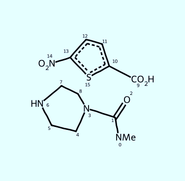 CNC(=O)N1CCNCC1.O=C(O)c1ccc([N+](=O)[O-])s1